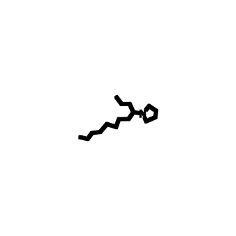 CCCCCCCCC(CCC)N1CCCC1